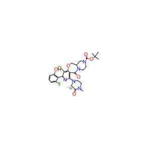 C[C@H]1C(=O)N(C)CCN1c1nc(-c2c(O)cccc2F)c(Cl)c2c1C(=O)N1CCN(C(=O)OC(C)(C)C)CC1CO2